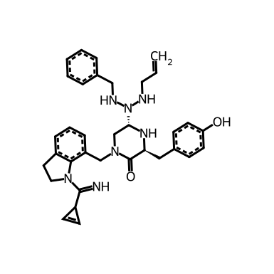 C=CCNN(NCc1ccccc1)[C@H]1CN(Cc2cccc3c2N(C(=N)C2C=C2)CC3)C(=O)[C@H](Cc2ccc(O)cc2)N1